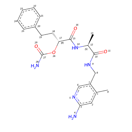 Cc1cc(N)ncc1CNC(=O)[C@H](C)NC(=O)[C@@H](CCc1ccccc1)OC(N)=O